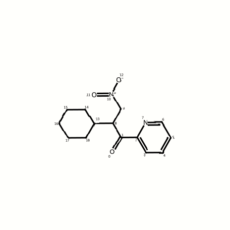 O=C(c1ccccn1)C(C[N+](=O)[O-])C1CCCCC1